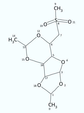 CC1OC2OC3C(CS(C)(=O)=O)OC(C)OC3C2O1